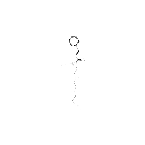 Cl.NCCOCCOCCNC(=O)C=Cc1ccccc1